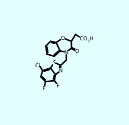 O=C(O)CC1Oc2ccccc2N(Cc2nc3c(F)c(F)cc(Cl)c3s2)C1=O